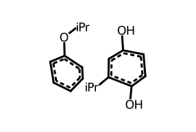 CC(C)Oc1ccccc1.CC(C)c1cc(O)ccc1O